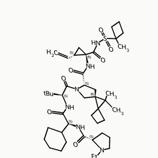 C=C[C@@H]1C[C@]1(NC(=O)[C@@H]1C[C@@]2(CN1C(=O)[C@@H](NC(=O)[C@@H](NC(=O)[C@@H]1CCCN1CC)C1CCCCC1)C(C)(C)C)C(C)(C)C21CCC1)C(=O)NS(=O)(=O)C1(C)CCC1